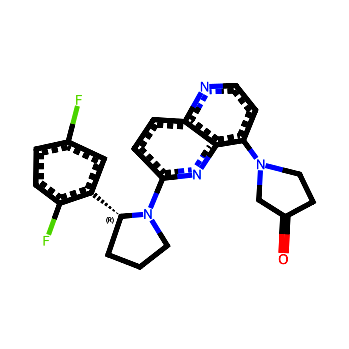 O=C1CCN(c2ccnc3ccc(N4CCC[C@@H]4c4cc(F)ccc4F)nc23)C1